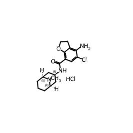 CN1[C@@H]2CCC[C@H]1C[C@@H](NC(=O)c1cc(Cl)c(N)c3c1OCC3)C2.Cl